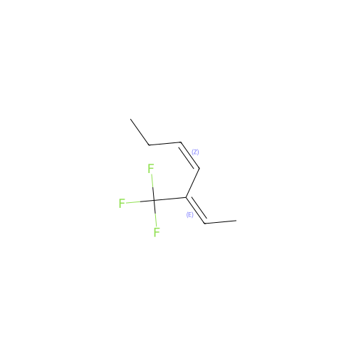 C/C=C(\C=C/CC)C(F)(F)F